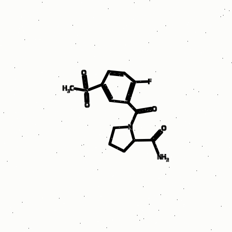 CS(=O)(=O)c1ccc(F)c(C(=O)N2CCCC2C(N)=O)c1